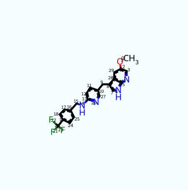 COc1cnc2[nH]cc(Cc3ccc(NCc4ccc(C(F)(F)F)cc4)nc3)c2c1